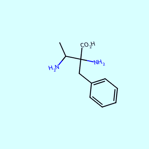 CC(N)C(N)(Cc1ccccc1)C(=O)O